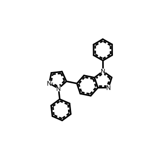 c1ccc(-n2nccc2-c2ccc3ncn(-c4ccccc4)c3c2)cc1